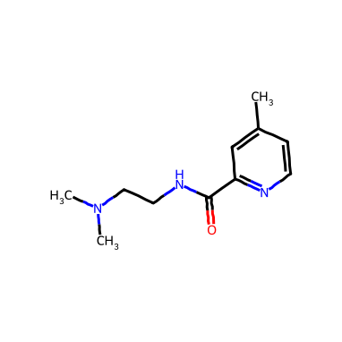 Cc1ccnc(C(=O)NCCN(C)C)c1